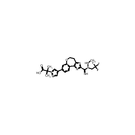 CNN(CC(F)(F)F)C(=N)c1nc2c(s1)CCOc1cc(-c3cnn(C(C)(C)C(=O)O)c3)ccc1-2